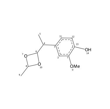 COc1cc(C(C)C2OC(C)O2)ccc1O